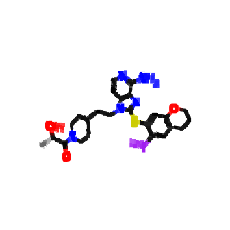 C[C@H](O)C(=O)N1CCC(CCn2c(Sc3cc4c(cc3[124I])CCCO4)nc3c(N)nccc32)CC1